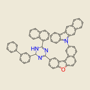 c1ccc(-c2cccc(C3N=C(c4ccc5oc6ccc7ccc(-n8c9ccccc9c9cc%10ccccc%10cc98)cc7c6c5c4)N=C(c4cccc5ccccc45)N3)c2)cc1